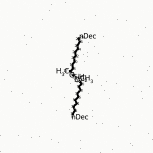 CCCCCCCCCCCCCCCCCCCCC(C)O[SiH2]OC(C)CCCCCCCCCCCCCCCCCCCC